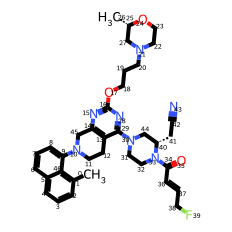 Cc1cccc2cccc(N3CCc4c(nc(OCCCN5CCO[C@@H](C)C5)nc4N4CCN(C(=O)/C=C/CF)[C@@H](CC#N)C4)C3)c12